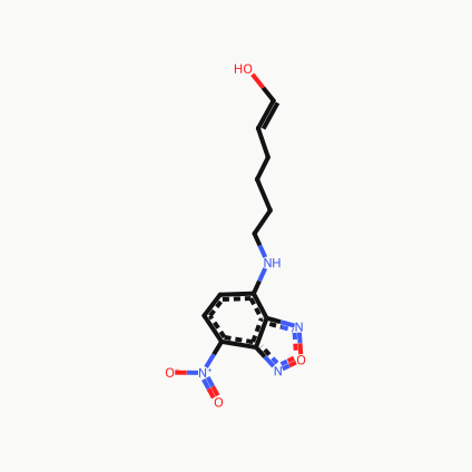 O=[N+]([O-])c1ccc(NCCCC/C=C/O)c2nonc12